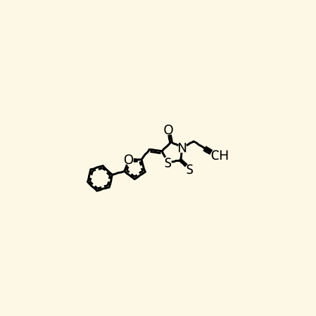 C#CCN1C(=O)C(=Cc2ccc(-c3ccccc3)o2)SC1=S